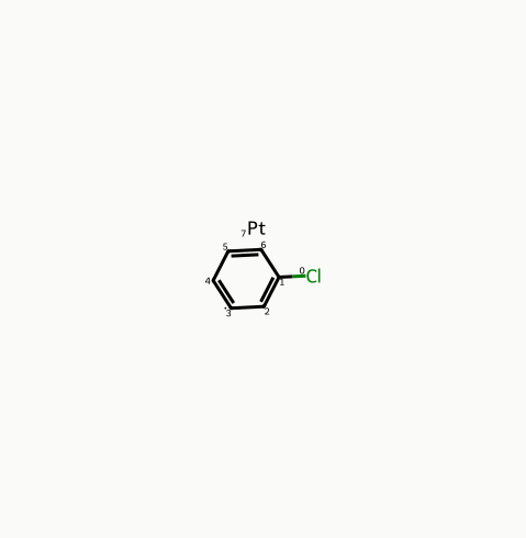 Clc1c[c]ccc1.[Pt]